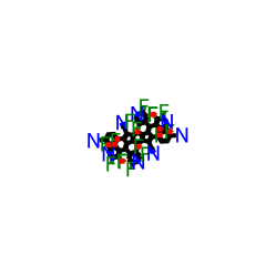 N#CC1=C(c2ccc(C#N)cc2)C(=C(c2c(F)c(F)nc(F)c2F)c2c(F)c(F)nc(F)c2F)c2cc3c(cc21)C(=C(c1c(F)c(F)nc(F)c1F)c1c(F)c(F)nc(F)c1F)C(c1ccc(C#N)cc1)=C3C#N